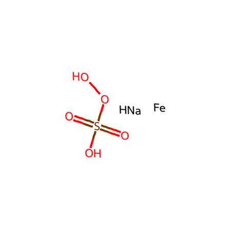 O=S(=O)(O)OO.[Fe].[NaH]